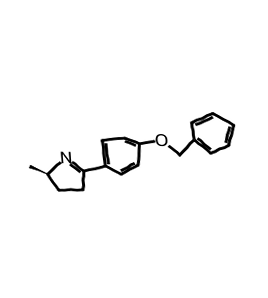 C[C@@H]1CCC(c2ccc(OCc3ccccc3)cc2)=N1